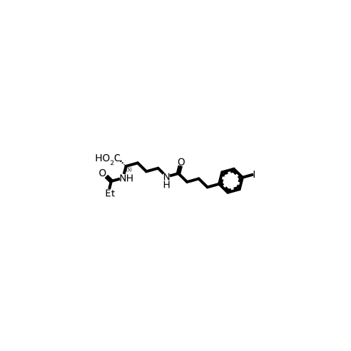 CCC(=O)N[C@@H](CCCNC(=O)CCCc1ccc(I)cc1)C(=O)O